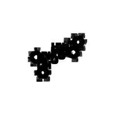 O=C(CC(=O)N[C@H](Cc1ccccc1)C1(O)CCCCC1)N[C@H](Cc1ccccc1)C1(O)CCCCC1